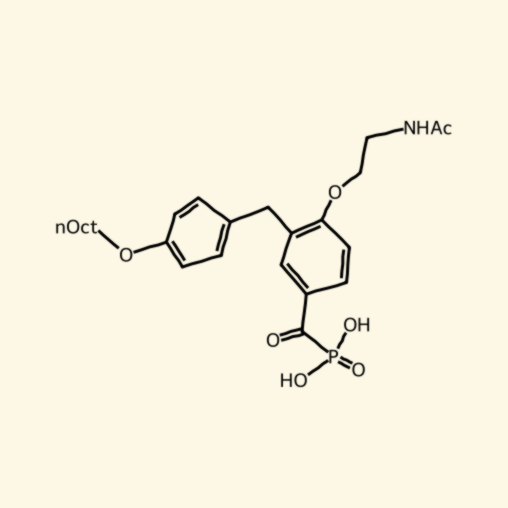 CCCCCCCCOc1ccc(Cc2cc(C(=O)P(=O)(O)O)ccc2OCCNC(C)=O)cc1